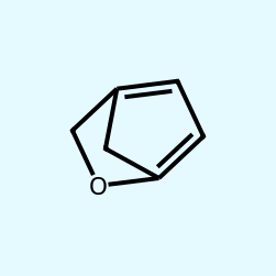 C1=C2COC(=C1)C2